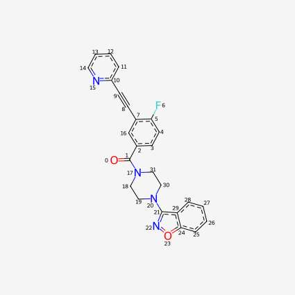 O=C(c1ccc(F)c(C#Cc2ccccn2)c1)N1CCN(c2noc3ccccc23)CC1